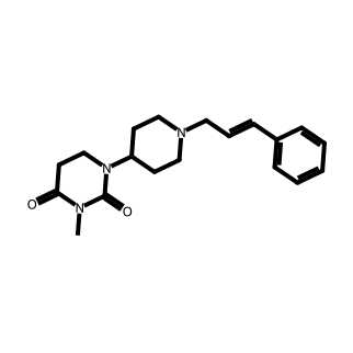 CN1C(=O)CCN(C2CCN(C/C=C/c3ccccc3)CC2)C1=O